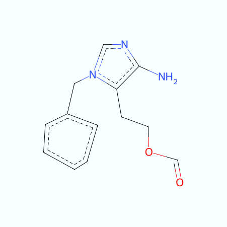 Nc1ncn(Cc2ccccc2)c1CCOC=O